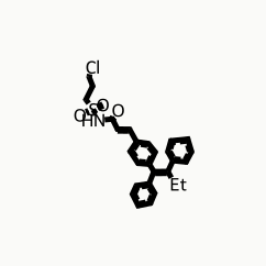 CC/C(=C(\c1ccccc1)c1ccc(/C=C/C(=O)NS(=O)(=O)CCCCl)cc1)c1ccccc1